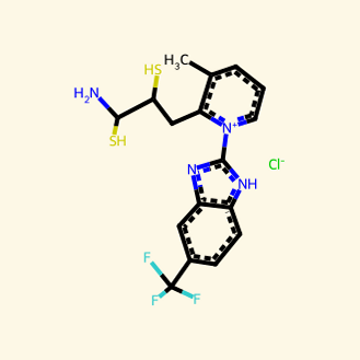 Cc1ccc[n+](-c2nc3cc(C(F)(F)F)ccc3[nH]2)c1CC(S)C(N)S.[Cl-]